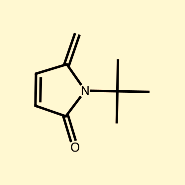 C=C1C=CC(=O)N1C(C)(C)C